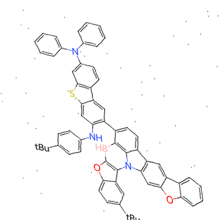 CC(C)(C)c1ccc(Nc2cc3sc4cc(N(c5ccccc5)c5ccccc5)ccc4c3cc2-c2ccc3c4cc5c(cc4n4c3c2Bc2oc3ccc(C(C)(C)C)cc3c2-4)oc2ccccc25)cc1